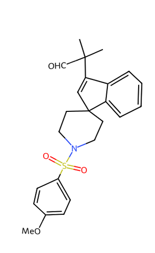 COc1ccc(S(=O)(=O)N2CCC3(C=C(C(C)(C)C=O)c4ccccc43)CC2)cc1